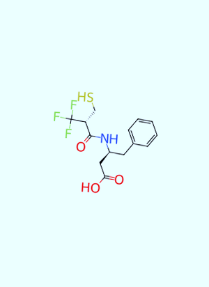 O=C(O)C[C@H](Cc1ccccc1)NC(=O)[C@@H](CS)C(F)(F)F